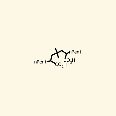 CCCCCC(CC(C)(C)CC(CCCCC)C(=O)O)C(=O)O